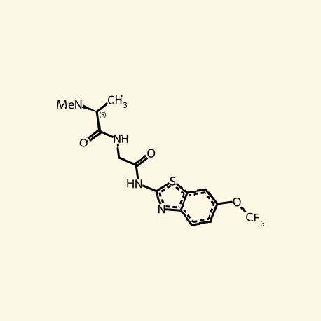 CN[C@@H](C)C(=O)NCC(=O)Nc1nc2ccc(OC(F)(F)F)cc2s1